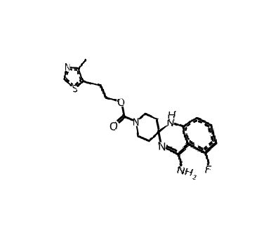 Cc1ncsc1CCOC(=O)N1CCC2(CC1)N=C(N)c1c(F)cccc1N2